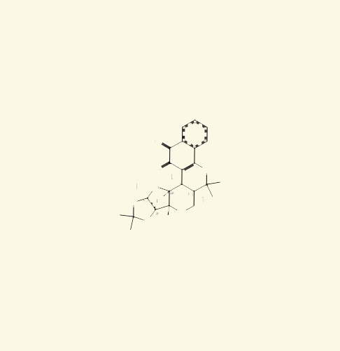 CC1(C)O[C@H]2O[C@H]3[C@H](OC[C@H]4[C@@H]3C3=C(OC4(C)C)c4ccccc4C(=O)C3=O)[C@H]2O1